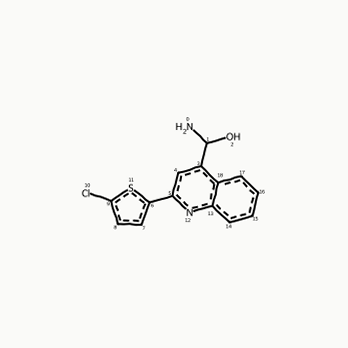 NC(O)c1cc(-c2ccc(Cl)s2)nc2ccccc12